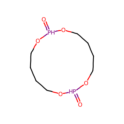 O=[PH]1OCCCCO[PH](=O)OCCCCO1